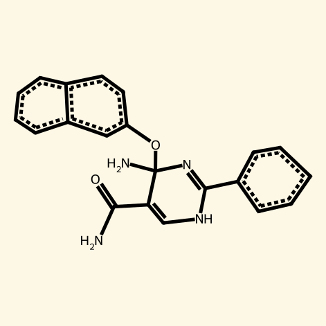 NC(=O)C1=CNC(c2ccccc2)=NC1(N)Oc1ccc2ccccc2c1